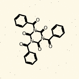 O=C(c1ccccc1)n1c(=O)n(C(=O)c2ccccc2)c(=O)n(C(=O)c2ccccc2)c1=O